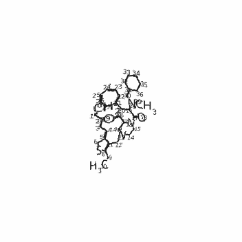 C=CCC/C=C1\CSC(CC)=C1CN1CCN(C(=O)C(CC2=CC=CC=CC2)N(C)CC2CCCCC2)C(C=O)C1